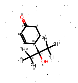 [2H]C([2H])([2H])C(O)([C@H]1C=CC(=O)CC1)C([2H])([2H])[2H]